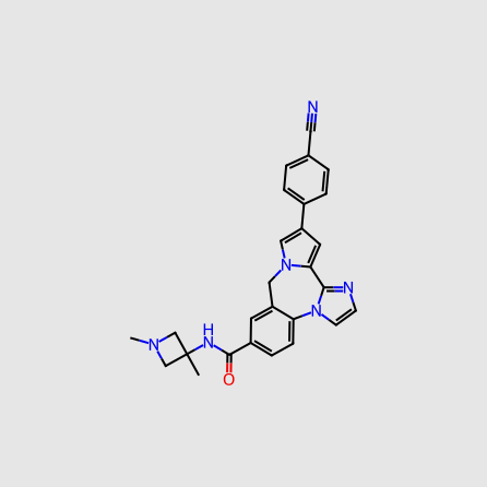 CN1CC(C)(NC(=O)c2ccc3c(c2)Cn2cc(-c4ccc(C#N)cc4)cc2-c2nccn2-3)C1